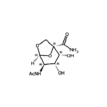 CC(=O)N[C@H]1[C@H]2OC[C@](C(N)=O)(O2)[C@H](O)[C@@H]1O